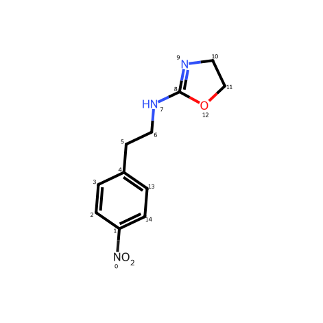 O=[N+]([O-])c1ccc(CCNC2=NCCO2)cc1